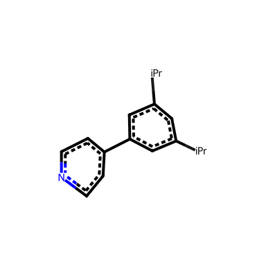 CC(C)c1cc(-c2ccncc2)cc(C(C)C)c1